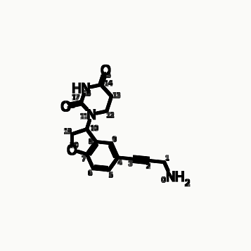 NCC#Cc1ccc2c(c1)C(N1CCC(=O)NC1=O)CO2